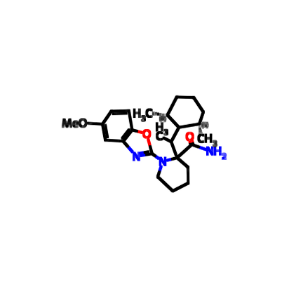 COc1ccc2oc(N3CCCCC3(C(N)=O)C(C)C3[C@H](C)CCC[C@@H]3C)nc2c1